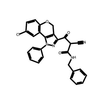 N#CC(C(=O)NCc1ccccc1)C(=O)c1nn(-c2ccccc2)c2c1COc1ccc(Cl)cc1-2